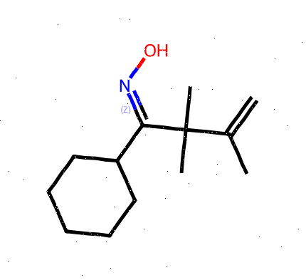 C=C(C)C(C)(C)/C(=N\O)C1CCCCC1